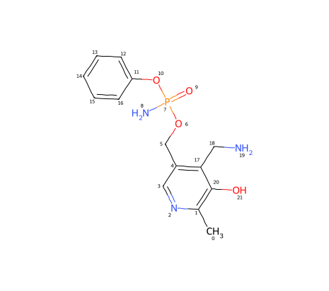 Cc1ncc(COP(N)(=O)Oc2ccccc2)c(CN)c1O